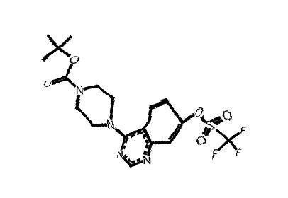 CC(C)(C)OC(=O)N1CCN(c2ncnc3c2CCC(OS(=O)(=O)C(F)(F)F)=C3)CC1